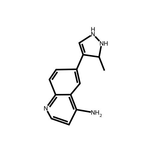 CC1NNC=C1c1ccc2nccc(N)c2c1